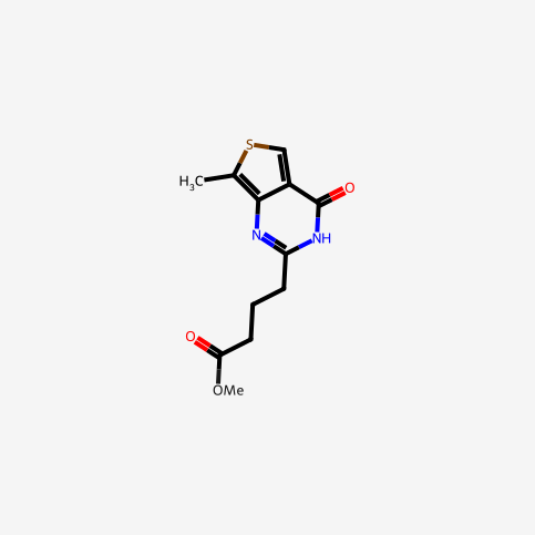 COC(=O)CCCc1nc2c(C)scc2c(=O)[nH]1